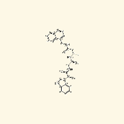 C[C@@H](CC(=O)NCc1cccc2ccccc12)NC(=O)CNC(=O)C(=O)c1c[nH]c2ccccc12